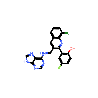 Oc1ccc(F)cc1-c1nc2c(Cl)cccc2cc1CNc1ncnc2[nH]cnc12